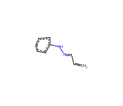 C=CC=NNc1ccccc1